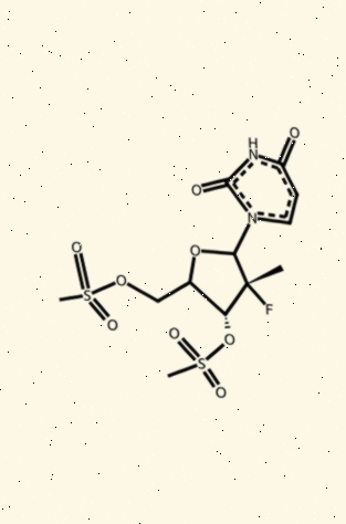 C[C@]1(F)C(n2ccc(=O)[nH]c2=O)OC(COS(C)(=O)=O)[C@H]1OS(C)(=O)=O